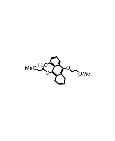 COCCOc1c2c(c(OCCOC)c3c(C)cccc13)CC=CC2